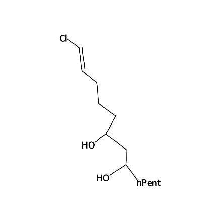 CCCCCC(O)CC(O)CCCC=CCl